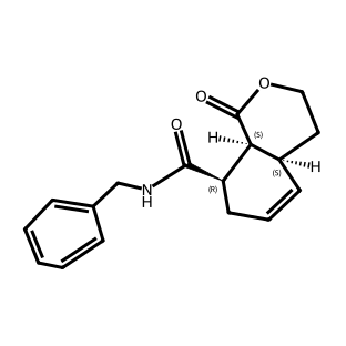 O=C1OCC[C@H]2C=CC[C@@H](C(=O)NCc3ccccc3)[C@@H]12